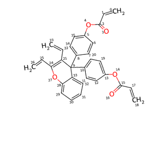 C=CC(=O)Oc1ccc(C2(c3ccc(OC(=O)C=C)cc3)C(C=C)=C(C=C)Oc3ccccc32)cc1